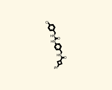 CC(C)C1CC(C(=O)NCc2ccc(NC(=O)NCc3ccc(Cl)cc3)cc2)C1